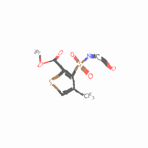 CC(C)OC(=O)c1scc(C(F)(F)F)c1S(=O)(=O)N=C=O